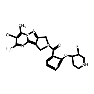 Cc1nc2c3c(nn2c(C)c1Cl)CN(C(=O)c1ccccc1OC1CCNCC1F)C3